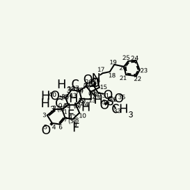 C[C@]12C=CC(=O)C=C1[C@@H](F)C[C@H]1[C@@H]3C[C@H]4CN(CCCc5ccccc5)O[C@@]4(C(=O)COS(C)(=O)=O)[C@@]3(C)C[C@H](O)[C@@]12F